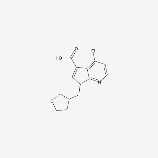 O=C(O)c1cn(CC2CCOC2)c2nccc(Cl)c12